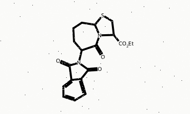 CCOC(=O)C1CSC2CCCC(N3C(=O)c4ccccc4C3=O)C(=O)N21